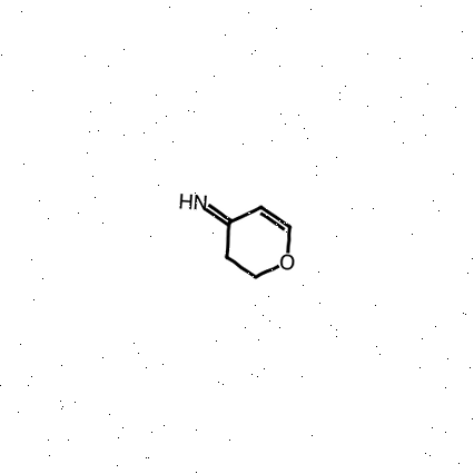 N=C1C=COCC1